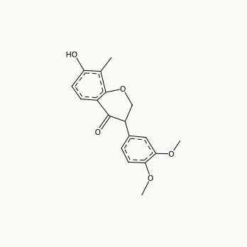 COc1ccc(C2COc3c(ccc(O)c3C)C2=O)cc1OC